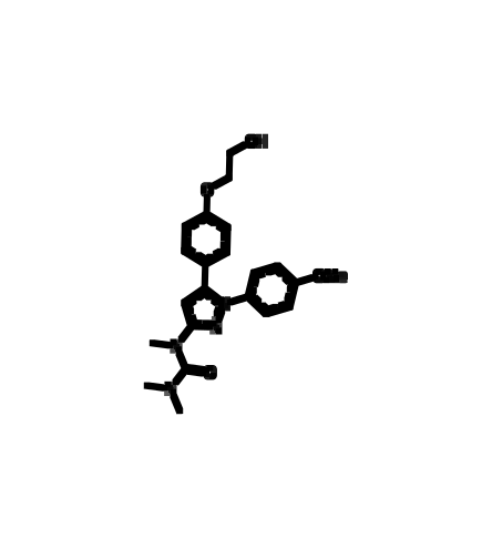 COc1ccc(-n2nc(N(C)C(=O)N(C)C)cc2-c2ccc(OCCO)cc2)cc1